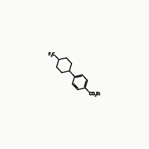 CCOC(=O)c1ccc(C2CCC(C(F)(F)F)CC2)cc1